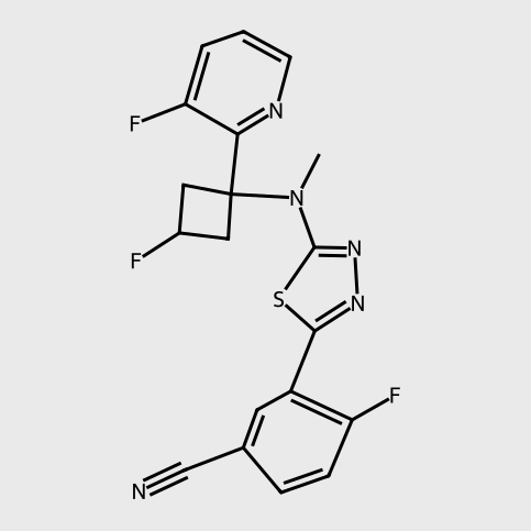 CN(c1nnc(-c2cc(C#N)ccc2F)s1)C1(c2ncccc2F)CC(F)C1